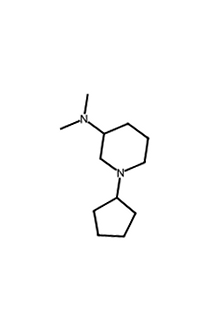 CN(C)C1CCCN(C2CCCC2)C1